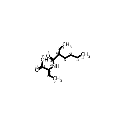 C/C=C(\NC(=O)C(CC)CCCC)C(=O)O